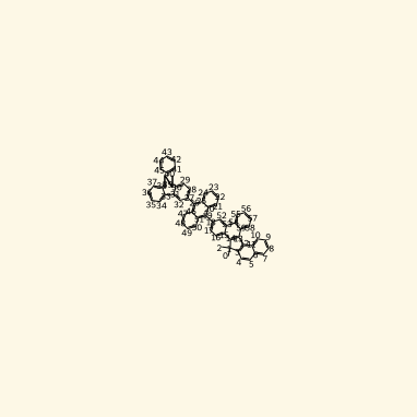 CC1(C)c2ccc3ccccc3c2-c2c1c1ccc(-c3c4ccccc4c(-c4ccc5c(c4)c4ccccc4n5-c4ccccc4)c4ccccc34)cc1c1ccccc21